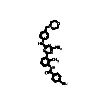 Cc1c(NC(=O)c2ccc(C(C)(C)C)cc2)cccc1-c1nc(N)nc(Nc2ccc(CN3CCOCC3)cc2)n1